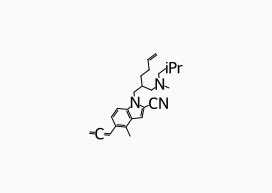 C=C=Cc1ccc2c(cc(C#N)n2CC(CCC=C)CN(C)CC(C)C)c1C